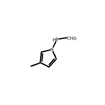 Cc1ccn(BC=O)c1